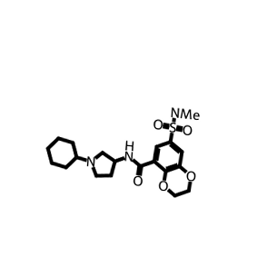 CNS(=O)(=O)c1cc2c(c(C(=O)NC3CCN(C4CCCCC4)C3)c1)OCCO2